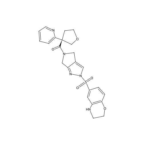 O=C(N1Cc2cn(S(=O)(=O)c3ccc4c(c3)NCCO4)nc2C1)[C@@]1(c2ccccn2)CCOC1